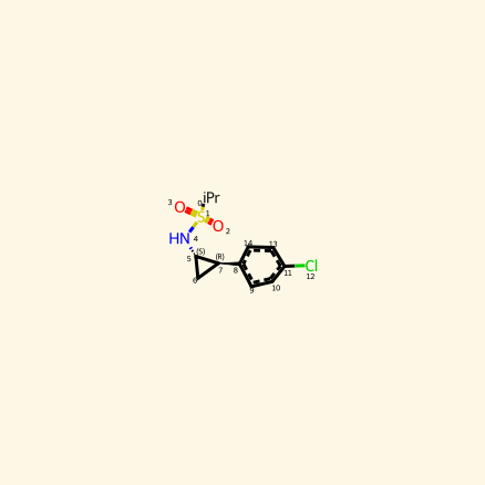 CC(C)S(=O)(=O)N[C@H]1C[C@@H]1c1ccc(Cl)cc1